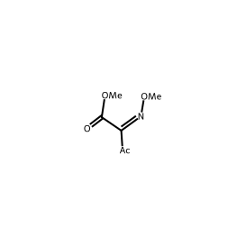 CO/N=C(/C(C)=O)C(=O)OC